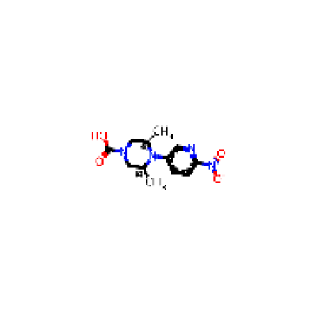 C[C@H]1CN(C(=O)O)C[C@H](C)N1c1ccc([N+](=O)[O-])nc1